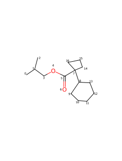 CC(C)COC(=O)C1(C2CCCCC2)CCC1